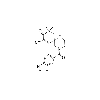 CC1(C)CC2(C=C(C#N)C1=O)CN(C(=O)c1ccc3ncoc3c1)CCO2